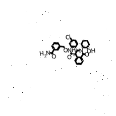 NC(=O)c1cccc(CONC(=O)[C@@H]2c3ccccc3C(=O)N([C@H]3CCCC[C@@H]3O)[C@H]2c2ccc(Cl)cc2)c1